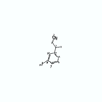 CC(CC#N)c1cccc(I)c1